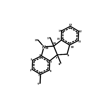 Cc1ccc2c(c1)C1(C)Cc3ccccc3C1(C)N2C